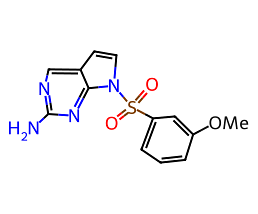 COc1cccc(S(=O)(=O)n2ccc3cnc(N)nc32)c1